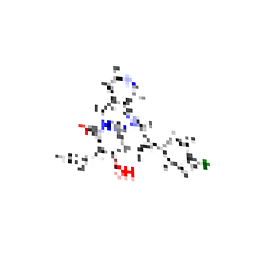 CCOC(=O)c1c(O)c2cc(-c3ccc(F)cc3)cnc2n(Cc2ccncc2)c1=O